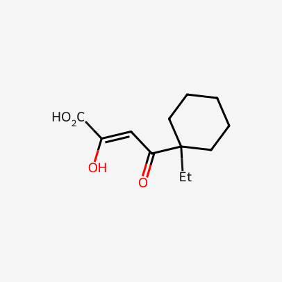 CCC1(C(=O)C=C(O)C(=O)O)CCCCC1